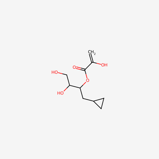 C=C(O)C(=O)OC(CC1CC1)C(O)CO